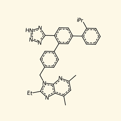 CCc1nc2c(C)cc(C)nc2n1Cc1ccc(-c2cc(-c3ccccc3C(C)C)ccc2-c2nn[nH]n2)cc1